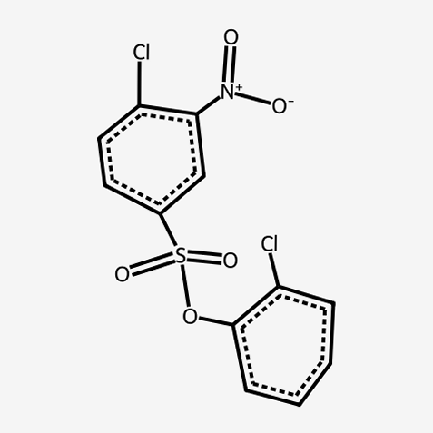 O=[N+]([O-])c1cc(S(=O)(=O)Oc2ccccc2Cl)ccc1Cl